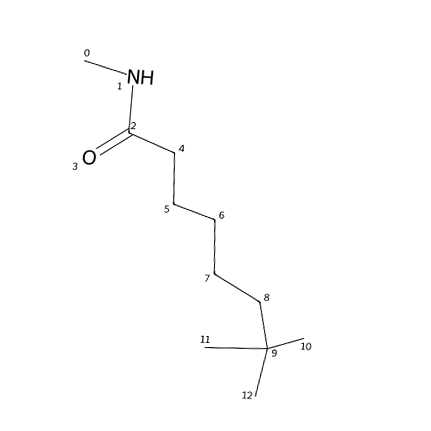 CNC(=O)CCCCCC(C)(C)C